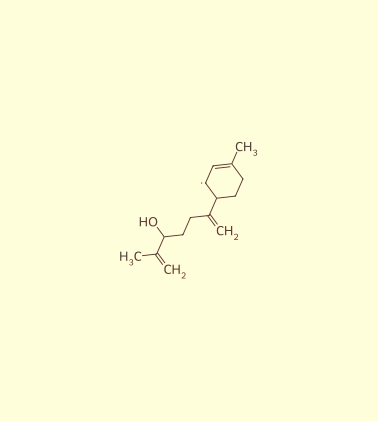 C=C(C)C(O)CCC(=C)C1[CH]C=C(C)CC1